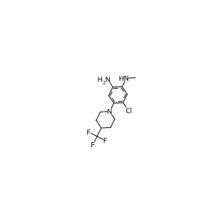 CNc1cc(Cl)c(N2CCC(C(F)(F)F)CC2)cc1N